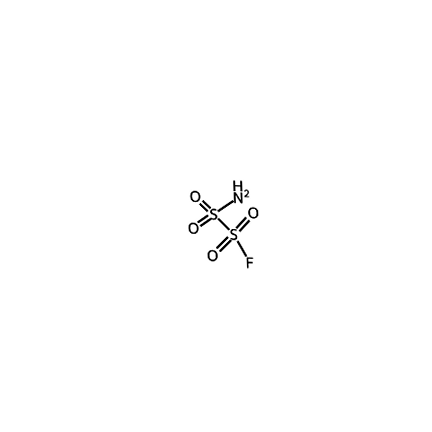 NS(=O)(=O)S(=O)(=O)F